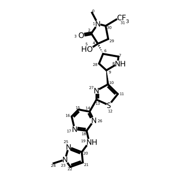 CN1C(=O)C(O)([C@@H]2CN[C@@H](c3csc(-c4ccnc(Nc5ccn(C)n5)n4)n3)C2)CC1C(F)(F)F